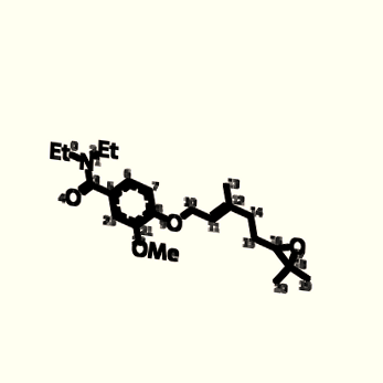 CCN(CC)C(=O)c1ccc(OC/C=C(\C)CCC2OC2(C)C)c(OC)c1